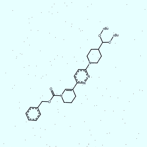 CCCCOC(OCCCC)C1CCN(c2ccc(C3=CN(C(=O)OCc4ccccc4)CCC3)nn2)CC1